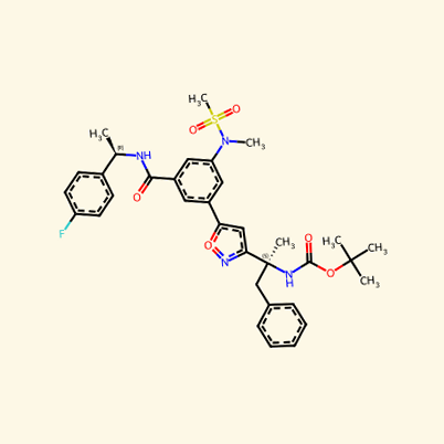 C[C@@H](NC(=O)c1cc(-c2cc([C@](C)(Cc3ccccc3)NC(=O)OC(C)(C)C)no2)cc(N(C)S(C)(=O)=O)c1)c1ccc(F)cc1